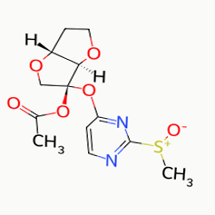 CC(=O)O[C@@]1(Oc2ccnc([S+](C)[O-])n2)CO[C@@H]2CCO[C@H]21